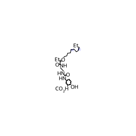 CC/C=C\C/C=C\CCCCO[C@H](CC)C(=O)NCCNC(=O)Nc1ccc(O)c(C(=O)O)c1